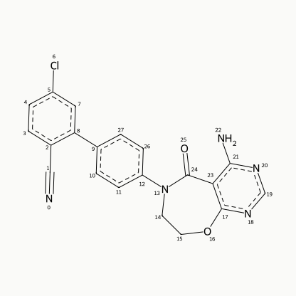 N#Cc1ccc(Cl)cc1-c1ccc(N2CCOc3ncnc(N)c3C2=O)cc1